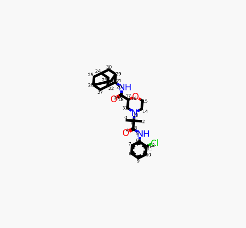 CC(C)(C(=O)Nc1ccccc1Cl)N1CCOC(C(=O)NC2C3CC4CC(C3)CC2C4)C1